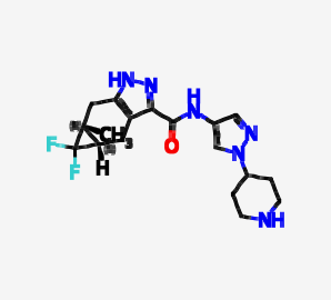 C[C@@]12Cc3[nH]nc(C(=O)Nc4cnn(C5CCNCC5)c4)c3C[C@@H]1C2(F)F